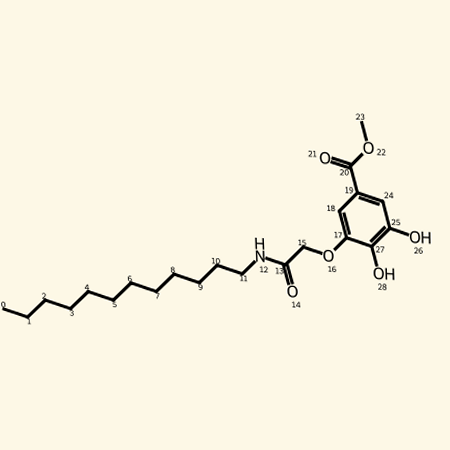 CCCCCCCCCCCCNC(=O)COc1cc(C(=O)OC)cc(O)c1O